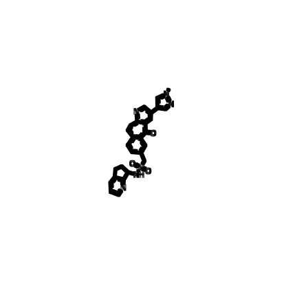 Cn1cc(-c2cnc3ccc4ccc(CS(=O)(=O)NC5CCc6cccnc65)cc4c(=O)c3c2)cn1